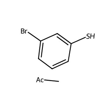 CC(C)=O.Sc1cccc(Br)c1